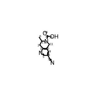 CC1Cc2ncc(C#N)cc2CN1C(=O)O